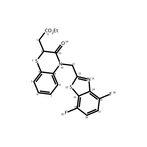 CCOC(=O)CC1Sc2ccccc2N(Cc2nc3c(F)ccc(F)c3s2)C1=O